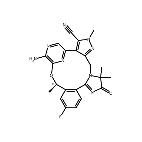 C[C@H]1Oc2nc(cnc2N)-c2c(nn(C)c2C#N)CN2C(=NC(=O)C2(C)C)c2ccc(F)cc21